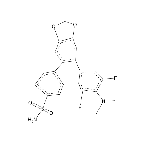 CN(C)c1c(F)cc(-c2cc3c(cc2-c2ccc(S(N)(=O)=O)cc2)OCO3)cc1F